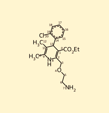 CCOC(=O)C1=C(COCCN)NC(C)=C(C)C1c1ccccc1Cl